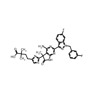 CC(C)(CCc1csc(C2(C)C(=O)Nc3nc(-c4nn(Cc5cccc(F)c5)c5cc(F)ccc45)nc(N)c32)n1)C(=O)O